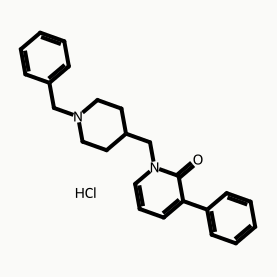 Cl.O=c1c(-c2ccccc2)cccn1CC1CCN(Cc2ccccc2)CC1